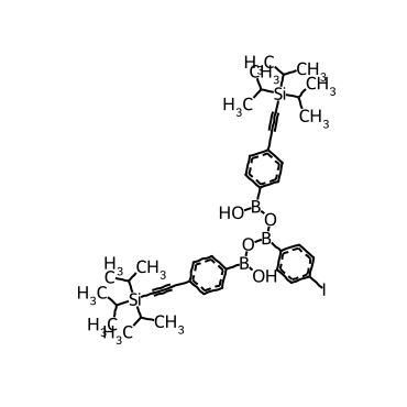 CC(C)[Si](C#Cc1ccc(B(O)OB(OB(O)c2ccc(C#C[Si](C(C)C)(C(C)C)C(C)C)cc2)c2ccc(I)cc2)cc1)(C(C)C)C(C)C